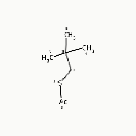 CC(=O)SCC(C)(C)C